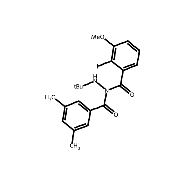 COc1cccc(C(=O)N(NC(C)(C)C)C(=O)c2cc(C)cc(C)c2)c1I